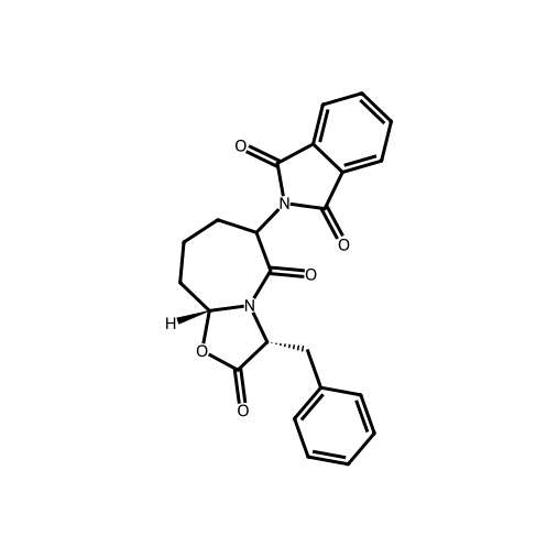 O=C1O[C@@H]2CCCC(N3C(=O)c4ccccc4C3=O)C(=O)N2[C@@H]1Cc1ccccc1